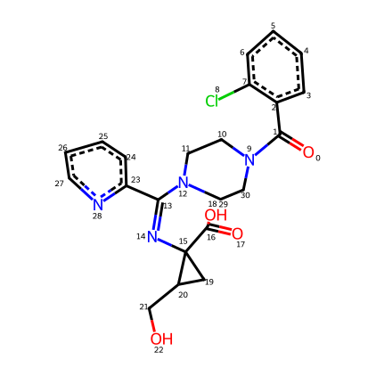 O=C(c1ccccc1Cl)N1CCN(C(=NC2(C(=O)O)CC2CO)c2ccccn2)CC1